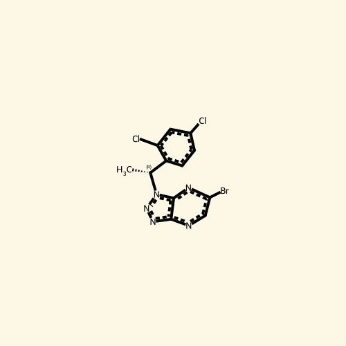 C[C@H](c1ccc(Cl)cc1Cl)n1nnc2ncc(Br)nc21